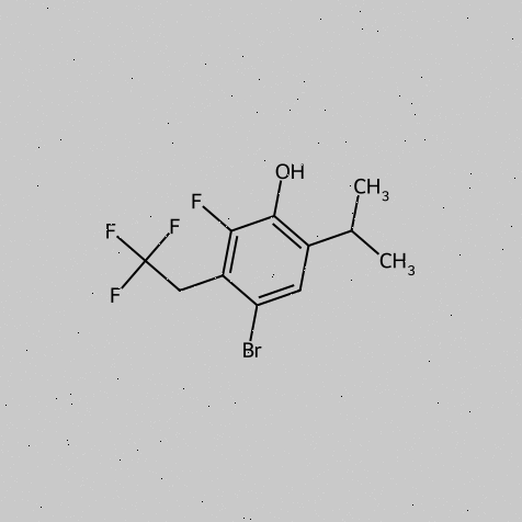 CC(C)c1cc(Br)c(CC(F)(F)F)c(F)c1O